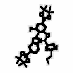 CCCc1ncc(C2Oc3cc(B4OC(C)(C)C(C)(C)O4)cc(F)c3-c3cc4cc(B5OC(C)(C)C(C)(C)O5)ccc4n32)s1